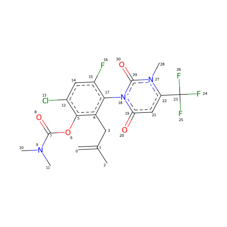 C=C(C)Cc1c(OC(=O)N(C)C)c(Cl)cc(F)c1-n1c(=O)cc(C(F)(F)F)n(C)c1=O